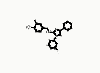 Cc1cc(CNc2nc(-c3ccccc3)cn2-c2cccc(F)c2)ccc1C(F)(F)F